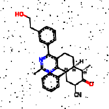 Cc1nc(-c2cccc(CCO)c2)c2c(n1)[C@@]1(c3ccccc3)CC(C#N)C(=O)[C@@H](C)[C@@H]1CC2